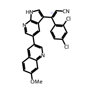 COc1ccc2cc(-c3cnc4[nH]cc(/C(=C/C#N)c5ccc(Cl)cc5Cl)c4c3)cnc2c1